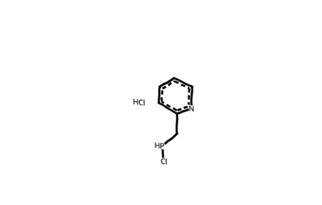 Cl.ClPCc1ccccn1